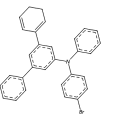 Brc1ccc(N(c2ccccc2)c2cc(C3=CCCC=C3)cc(-c3ccccc3)c2)cc1